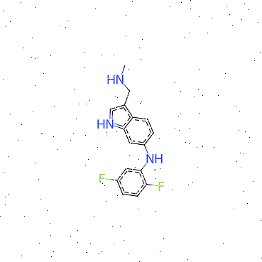 CNCc1c[nH]c2cc(Nc3cc(F)ccc3F)ccc12